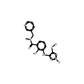 CCOc1n[s+]([O-])nc1Nc1cccc(C(=O)N(C)Cc2cccnc2)c1O